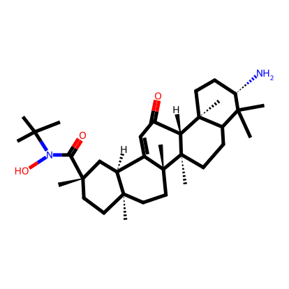 CC1(C)C2CC[C@]3(C)[C@H](C(=O)C=C4[C@@H]5C[C@@](C)(C(=O)N(O)C(C)(C)C)CC[C@]5(C)CC[C@]43C)[C@@]2(C)CC[C@@H]1N